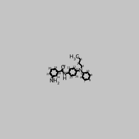 CCCCN(c1ccccc1)c1ccc(NC(=O)c2cccc(N)c2)cc1